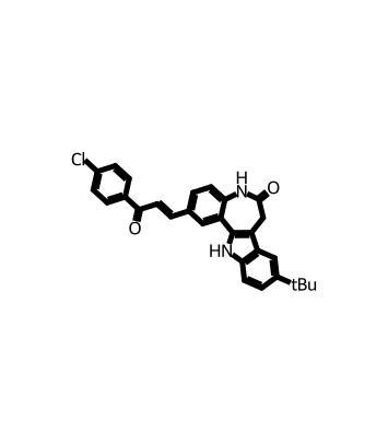 CC(C)(C)c1ccc2[nH]c3c(c2c1)CC(=O)Nc1ccc(/C=C/C(=O)c2ccc(Cl)cc2)cc1-3